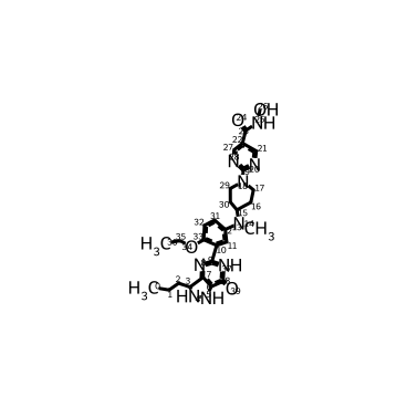 CCCC1NNc2c1nc(-c1cc(N(C)C3CCN(c4ncc(C(=O)NO)cn4)CC3)ccc1OCC)[nH]c2=O